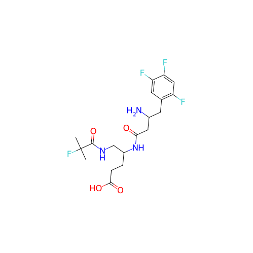 CC(C)(F)C(=O)NCC(CCC(=O)O)NC(=O)CC(N)Cc1cc(F)c(F)cc1F